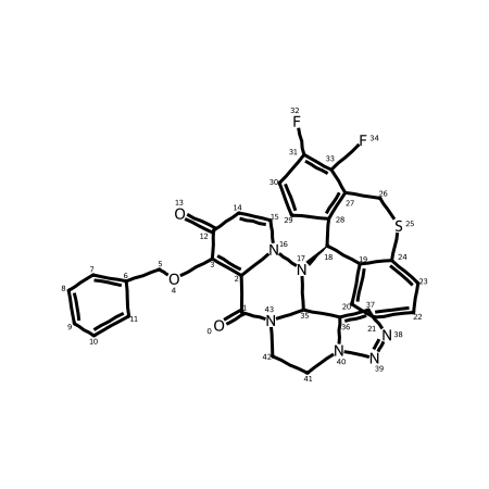 O=C1c2c(OCc3ccccc3)c(=O)ccn2N([C@@H]2c3ccccc3SCc3c2ccc(F)c3F)C2c3cnnn3CCN12